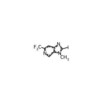 Cn1c(I)nc2cc(C(F)(F)F)ncc21